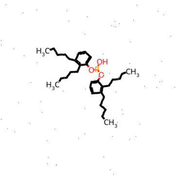 CCCCCc1cccc(OP(O)Oc2cccc(CCCCC)c2CCCCC)c1CCCCC